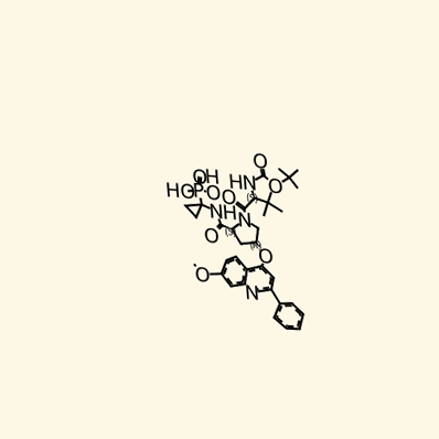 COc1ccc2c(O[C@@H]3C[C@@H](C(=O)NC4(P(=O)(O)O)CC4)N(C(=O)[C@@H](NC(=O)OC(C)(C)C)C(C)(C)C)C3)cc(-c3ccccc3)nc2c1